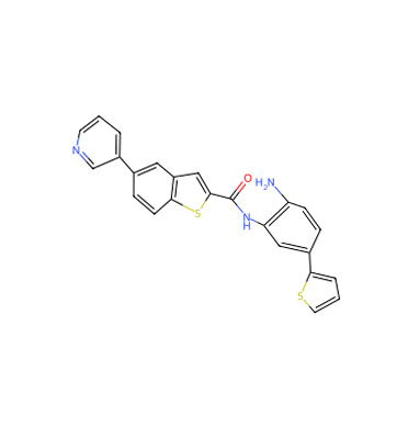 Nc1ccc(-c2cccs2)cc1NC(=O)c1cc2cc(-c3cccnc3)ccc2s1